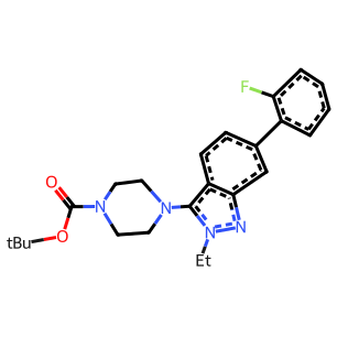 CCn1nc2cc(-c3ccccc3F)ccc2c1N1CCN(C(=O)OC(C)(C)C)CC1